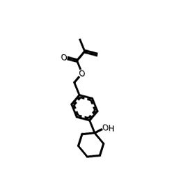 C=C(C)C(=O)OCc1ccc(C2(O)CCCCC2)cc1